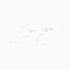 CCCCCC1CCCN(CC2CCCCC2NC(=O)O)C1